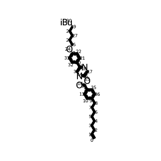 C=CCCCCCCCc1ccc(C(=O)Oc2cnc(-c3ccc(OCCCCC[C@@H](C)CC)cc3)cn2)cc1